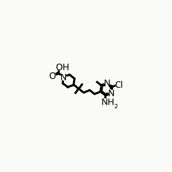 Cc1nc(Cl)nc(N)c1CCCC(C)(C)C1CCN(C(=O)O)CC1